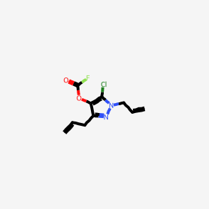 C=CCc1nn(CC=C)c(Cl)c1OC(=O)F